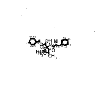 CC(C)CC(NC(=O)[C@@H](N)Cc1ccccc1)(C(=O)OCc1ccccc1)S(=O)(=O)O